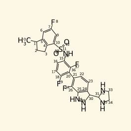 CC1CCc2c1cc(F)cc2S(=O)(=O)Nc1ccc(F)c(-c2ccc3c(c2F)NNC3C2NCCN2)c1F